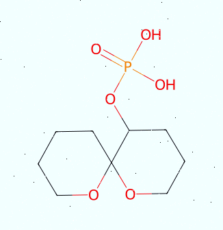 O=P(O)(O)OC1CCCOC12CCCCO2